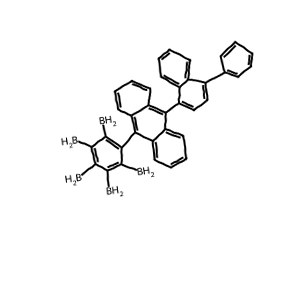 Bc1c(B)c(B)c(-c2c3ccccc3c(-c3ccc(-c4ccccc4)c4ccccc34)c3ccccc23)c(B)c1B